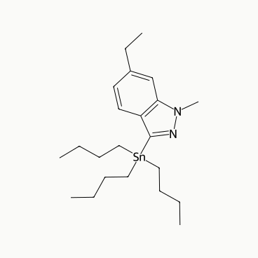 CCC[CH2][Sn]([CH2]CCC)([CH2]CCC)[c]1nn(C)c2cc(CC)ccc12